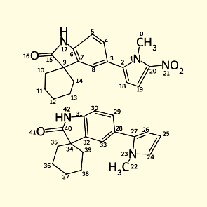 Cn1c(-c2ccc3c(c2)C2(CCCCC2)C(=O)N3)ccc1[N+](=O)[O-].Cn1cccc1-c1ccc2c(c1)C1(CCCCC1)C(=O)N2